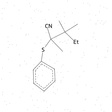 CCC(C)(C)C(C)(C#N)Sc1ccccc1